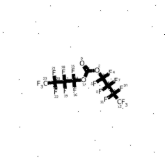 O=C(OC(F)(F)C(F)(F)C(F)(F)C(F)(F)F)OC(F)(F)C(F)(F)C(F)(F)C(F)(F)F